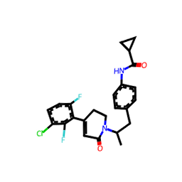 CC(Cc1ccc(NC(=O)C2CC2)cc1)N1CCC(c2c(F)ccc(Cl)c2F)=CC1=O